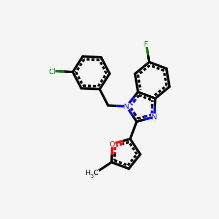 Cc1ccc(-c2nc3ccc(F)cc3n2Cc2cccc(Cl)c2)o1